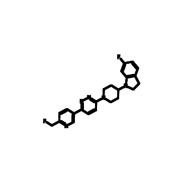 FCc1ccc(-c2ccc(N3CCC(N4CCc5ccc(F)cc54)CC3)nn2)cn1